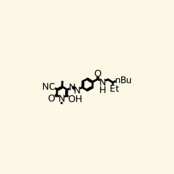 CCCCC(CC)CNC(=O)c1ccc(/N=N/c2c(C)c(C#N)c(=O)n(C)c2O)cc1